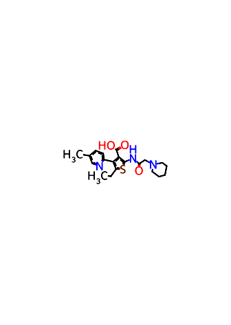 CCc1sc(NC(=O)CN2CCCCC2)c(C(=O)O)c1-c1ccc(C)cn1